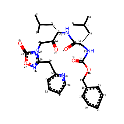 CC(C)C[C@H](NC(=O)[C@H](CC(C)C)NC(=O)OCc1ccccc1)C(=O)Cn1c(Cc2ccccn2)noc1=O